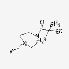 BC(B)(Br)C(=O)N1CCN(CC(C)C)CC1